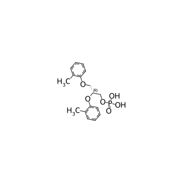 Cc1ccccc1OC[C@H](COP(=O)(O)O)Oc1ccccc1C